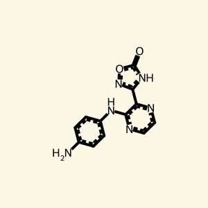 Nc1ccc(Nc2nccnc2-c2noc(=O)[nH]2)cc1